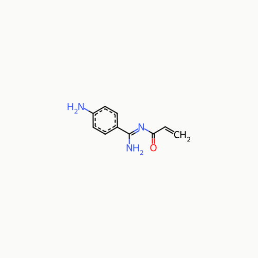 C=CC(=O)N=C(N)c1ccc(N)cc1